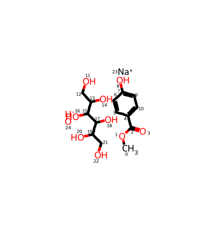 COC(=O)c1ccc(O)cc1.OCC(O)C(O)C(O)C(O)CO.[Na+].[OH-]